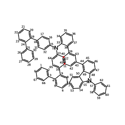 c1ccc(-c2ccccc2-c2ccc(N(c3ccc(-c4ccccc4-c4ccccc4)cc3)c3ccccc3-c3cccc(-c4cccc5c4c4ccccc4n5-c4ccccc4)c3)cc2)cc1